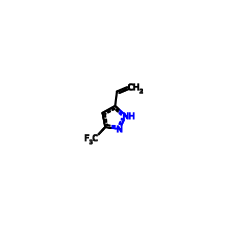 C=Cc1cc(C(F)(F)F)n[nH]1